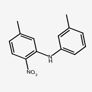 Cc1cccc(Nc2cc(C)ccc2[N+](=O)[O-])c1